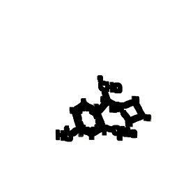 COc1cc(O)ccc1C(C=O)N1CCC1